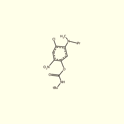 CC(C)N(C)c1cc(OC(=O)NC(C)(C)C)c([N+](=O)[O-])cc1Cl